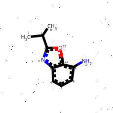 CC(C)c1nc2cccc(N)c2o1